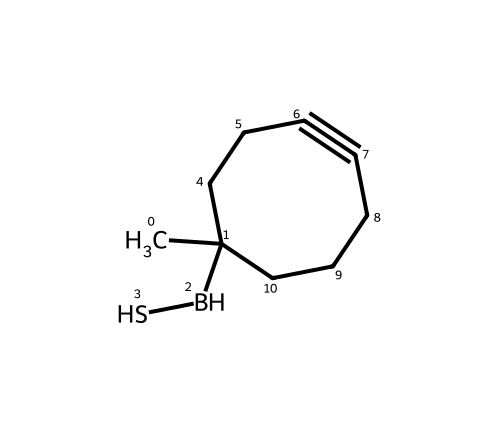 CC1(BS)CCC#CCCC1